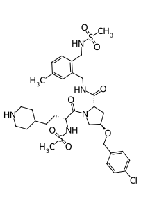 Cc1ccc(CNS(C)(=O)=O)c(CNC(=O)[C@@H]2C[C@@H](OCc3ccc(Cl)cc3)CN2C(=O)[C@@H](CCC2CCNCC2)NS(C)(=O)=O)c1